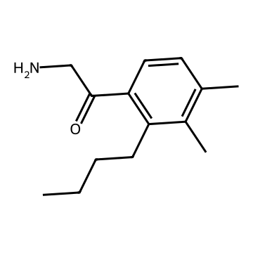 CCCCc1c(C(=O)CN)ccc(C)c1C